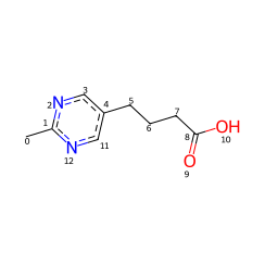 Cc1ncc(CCCC(=O)O)cn1